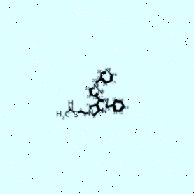 CNSCCN1Cc2nc(-c3ccccc3)nc(-c3ccn(Cc4cccnc4)n3)c2C1